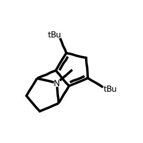 CN1C2CCC1C1=C(C(C)(C)C)CC(C(C)(C)C)=C12